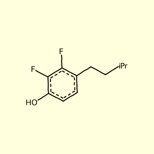 CC(C)CCc1ccc(O)c(F)c1F